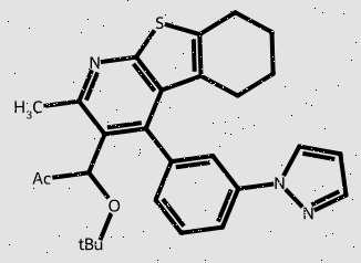 CC(=O)C(OC(C)(C)C)c1c(C)nc2sc3c(c2c1-c1cccc(-n2cccn2)c1)CCCC3